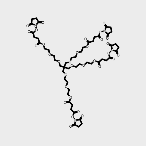 O=C(CCC(=O)ON1C(=O)CCC1=O)OCCOCCOCC(COCCOCCOC(=O)CCC(=O)ON1C(=O)CCC1=O)(COCCOCCOC(=O)CCC(=O)ON1C(=O)CCC1=O)COCCOCCOC(=O)CCC(=O)ON1C(=O)CCC1=O